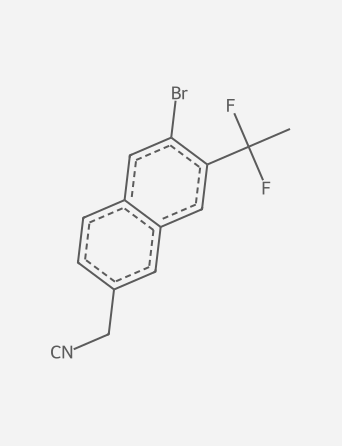 [C-]#[N+]Cc1ccc2cc(Br)c(C(C)(F)F)cc2c1